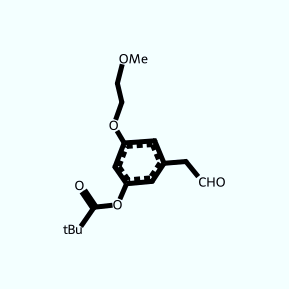 COCCOc1cc(CC=O)cc(OC(=O)C(C)(C)C)c1